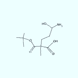 CC(C)(C)OC(=O)C(C)(CCC(N)O)C(=O)O